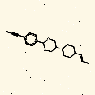 CC#Cc1ccc(C2OCC([C@H]3CC[C@H](/C=C/C)CC3)CO2)cc1